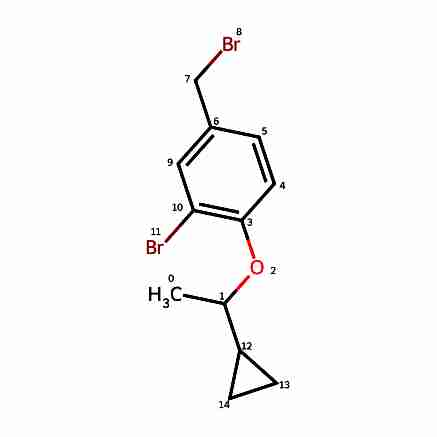 CC(Oc1ccc(CBr)cc1Br)C1CC1